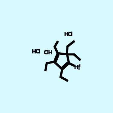 CCC1=[C]([Hf])C(CC)(CC)C(CC)=C1CC.Cl.Cl.Cl